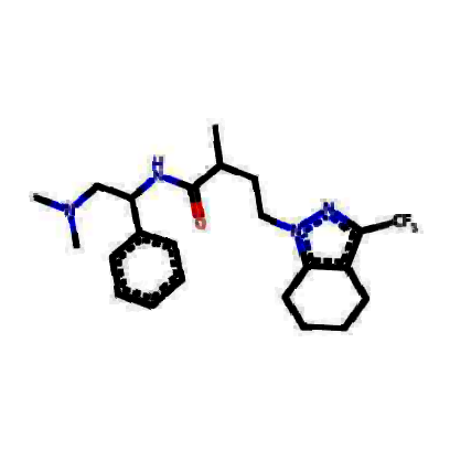 CC(CCn1nc(C(F)(F)F)c2c1CCCC2)C(=O)NC(CN(C)C)c1ccccc1